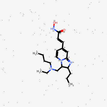 CCCCN(CC)CC1C(CCC)N=C2C=C(/C=C/C(=O)NO)C=CN21